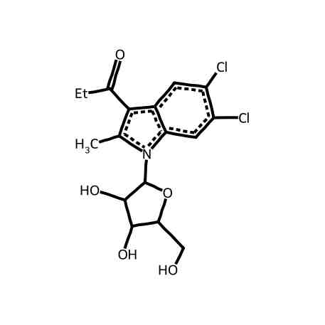 CCC(=O)c1c(C)n(C2OC(CO)C(O)C2O)c2cc(Cl)c(Cl)cc12